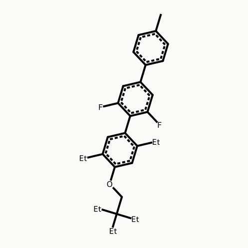 CCc1cc(-c2c(F)cc(-c3ccc(C)cc3)cc2F)c(CC)cc1OCC(CC)(CC)CC